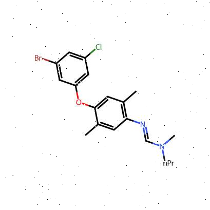 CCCN(C)C=Nc1cc(C)c(Oc2cc(Cl)cc(Br)c2)cc1C